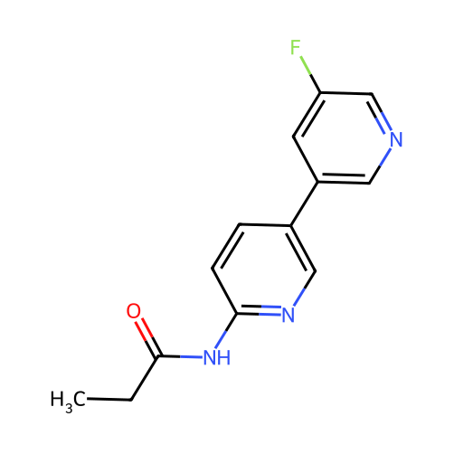 CCC(=O)Nc1ccc(-c2cncc(F)c2)cn1